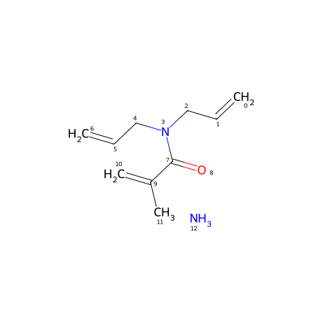 C=CCN(CC=C)C(=O)C(=C)C.N